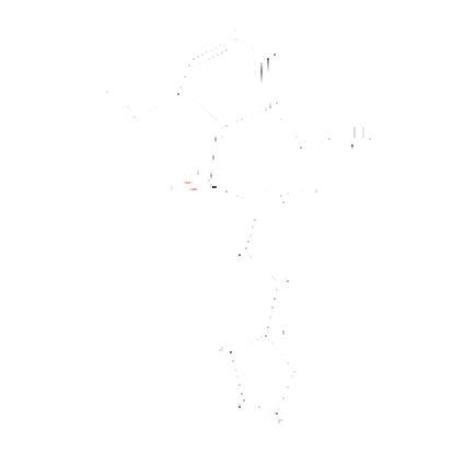 COc1cccc(OC)c1C(=O)[PH](=O)CCC1CCCC1